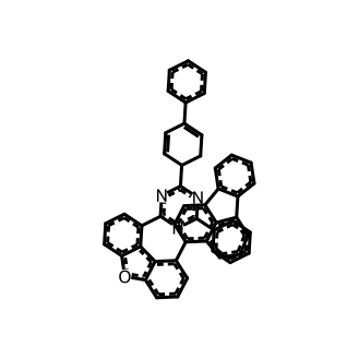 C1=CC(c2nc(-c3ccccc3)nc(-c3cccc4oc5cccc(-c6ccc7c8c(cccc68)-c6ccccc6-7)c5c34)n2)CC=C1c1ccccc1